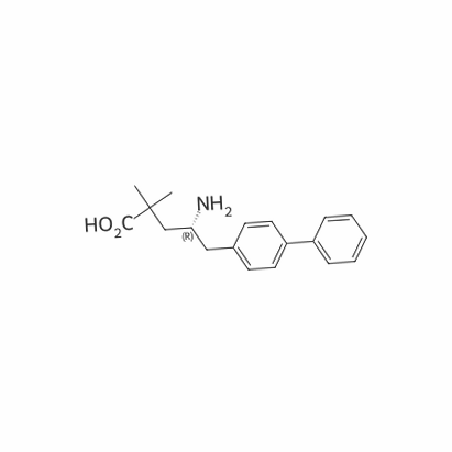 CC(C)(C[C@H](N)Cc1ccc(-c2ccccc2)cc1)C(=O)O